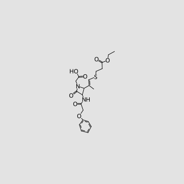 CCOC(=O)CCSC=C(C)C1C(NC(=O)COc2ccccc2)C(=O)N1CC(=O)O